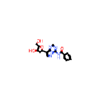 O=C(Nc1ncnc2c(C3CC(O)C(CO)O3)cnn12)c1ccccc1